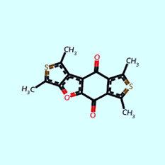 Cc1sc(C)c2c1C(=O)c1oc3c(C)sc(C)c3c1C2=O